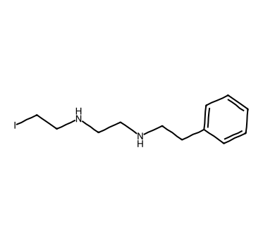 ICCNCCNCCc1ccccc1